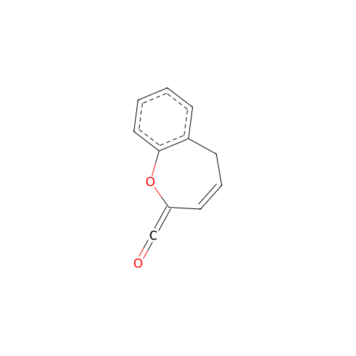 O=C=C1C=CCc2ccccc2O1